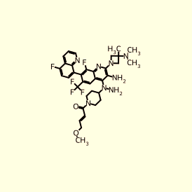 COC/C=C/C(=O)N1CCC(N(N)c2c(N)c(N3CC(C)(N(C)C)C3)nc3c(F)c(-c4ccc(F)c5cccnc45)c(C(F)(F)F)cc23)CC1